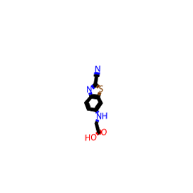 N#Cc1nc2ccc(NCC(=O)O)cc2s1